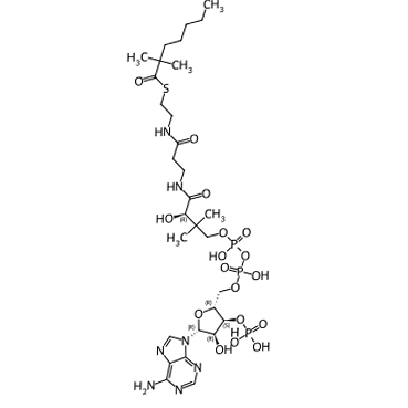 CCCCCC(C)(C)C(=O)SCCNC(=O)CCNC(=O)[C@H](O)C(C)(C)COP(=O)(O)OP(=O)(O)OC[C@H]1O[C@@H](n2cnc3c(N)ncnc32)[C@H](O)[C@@H]1OP(=O)(O)O